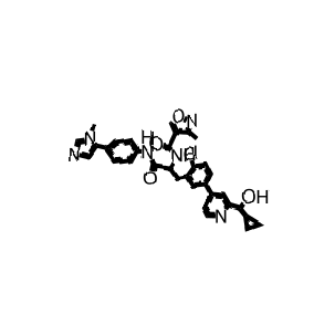 Cc1nocc1C(=O)NC(Cc1cc(-c2ccnc(C(O)C3CC3)c2)ccc1Cl)C(=O)Nc1ccc(-c2cncn2C)cc1